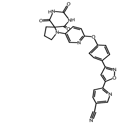 N#Cc1ccc(-c2cc(-c3ccc(Oc4ccc(N5CCCC56C(=O)NC(=O)NC6=O)cn4)cc3)no2)nc1